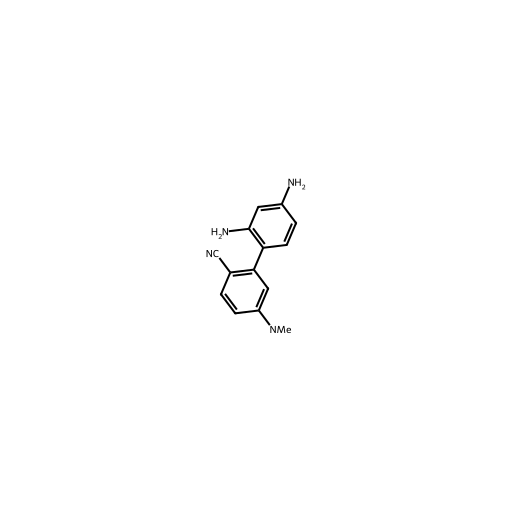 CNc1ccc(C#N)c(-c2ccc(N)cc2N)c1